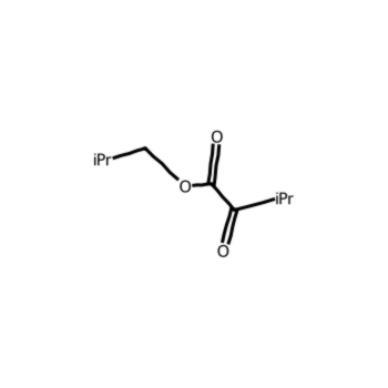 CC(C)COC(=O)C(=O)C(C)C